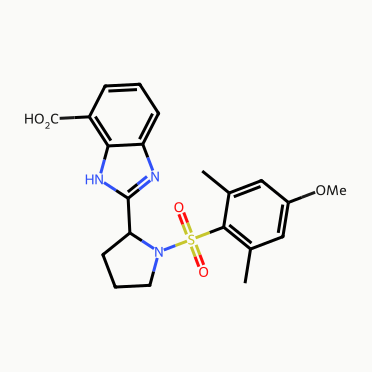 COc1cc(C)c(S(=O)(=O)N2CCCC2c2nc3cccc(C(=O)O)c3[nH]2)c(C)c1